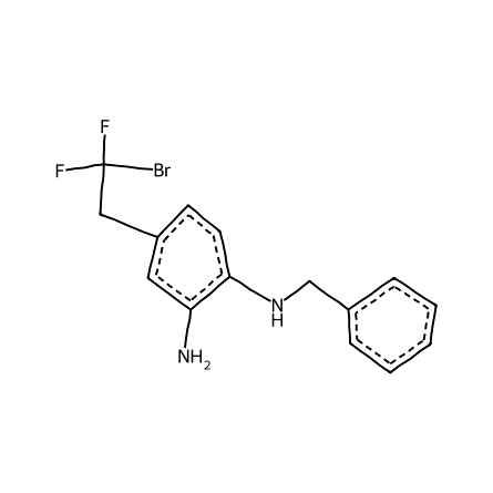 Nc1cc(CC(F)(F)Br)ccc1NCc1ccccc1